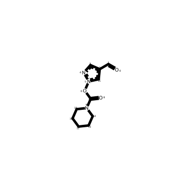 O=Cc1cnn(OC(=O)N2CCCCC2)c1